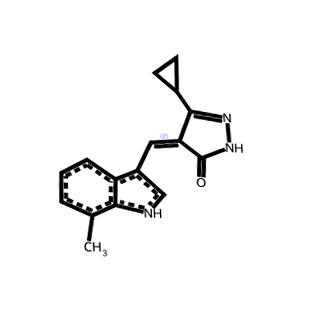 Cc1cccc2c(/C=C3\C(=O)NN=C3C3CC3)c[nH]c12